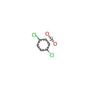 Clc1ccc(Cl)cc1.O=[Si]=O